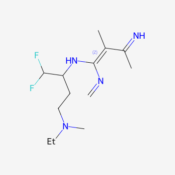 C=N/C(NC(CCN(C)CC)C(F)F)=C(/C)C(C)=N